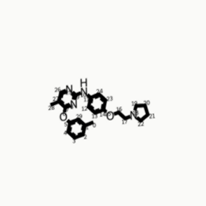 Cc1cccc(Oc2nc(Nc3ccc(OCCN4CCCC4)cc3)ncc2C)c1